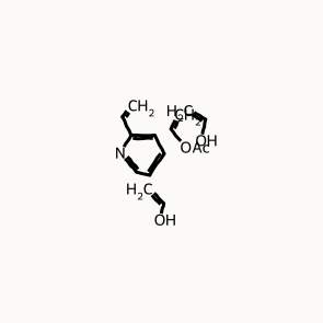 C=CO.C=CO.C=COC(C)=O.C=Cc1ccccn1